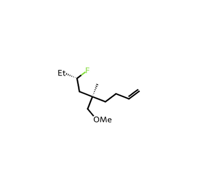 C=CCC[C@@](C)(COC)C[C@@H](F)CC